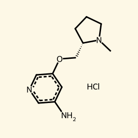 CN1CCC[C@H]1COc1cncc(N)c1.Cl